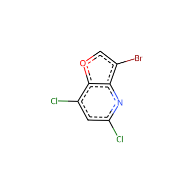 Clc1cc(Cl)c2occ(Br)c2n1